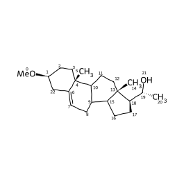 CO[C@H]1CC[C@@]2(C)C(=CCC3C2CC[C@@]2(C)C3CC[C@@H]2[C@@H](C)O)C1